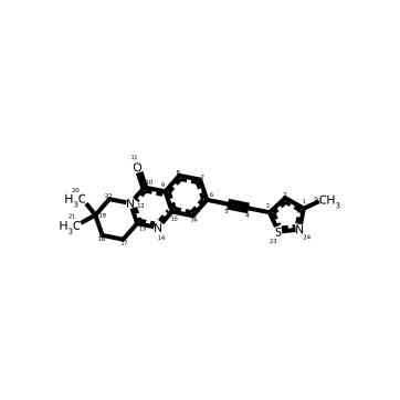 Cc1cc(C#Cc2ccc3c(=O)n4c(nc3c2)CCC(C)(C)C4)sn1